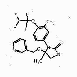 Cc1cc(N2C(=O)NCC2(C)OCc2ccccc2)ccc1OC(F)(F)C(F)F